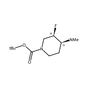 CN[C@H]1CCN(C(=O)OC(C)(C)C)C[C@H]1F